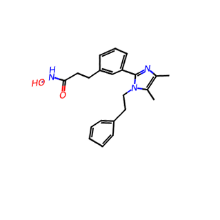 Cc1nc(-c2cccc(CCC(=O)NO)c2)n(CCc2ccccc2)c1C